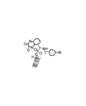 C[C@H](NC(c1cccc2nc([O-])c([O-])nc12)P(=O)([O-])[O-])c1ccc(Br)cc1.O.[Na+].[Na+].[Na+].[Na+]